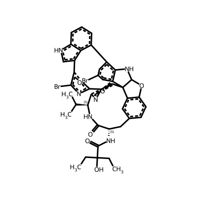 CCC(O)(CC)C(=O)N[C@H]1Cc2ccc3c(c2)C24c5cc(Br)cc(c5NC2O3)-c2cccc3[nH]cc(c23)-c2oc(nc2Br)-c2nc(oc24)[C@H](C(C)C)NC1=O